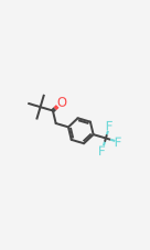 CC(C)(C)C(=O)Cc1ccc(C(F)(F)F)cc1